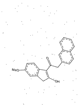 COc1ccc2c(c1)CC(O)=C2C(=O)Cc1ccc2ccccc2c1